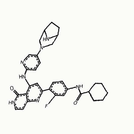 O=C(Nc1ccc(-c2cc(Nc3ccc(N4CC5CCC(C4)N5)cn3)c3c(=O)[nH]ccc3n2)c(F)c1)C1CCCCC1